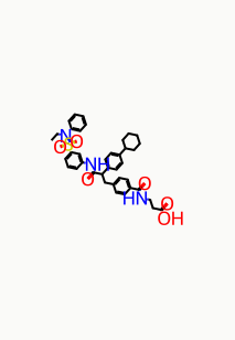 CCN(c1ccccc1)S(=O)(=O)c1cccc(NC(=O)C(Cc2ccc(C(=O)NCCC(=O)O)cc2)c2ccc(C3CCCCC3)cc2)c1